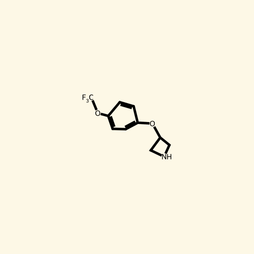 FC(F)(F)Oc1ccc(OC2CNC2)cc1